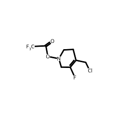 O=C(ON1CCC(CCl)=C(F)C1)C(F)(F)F